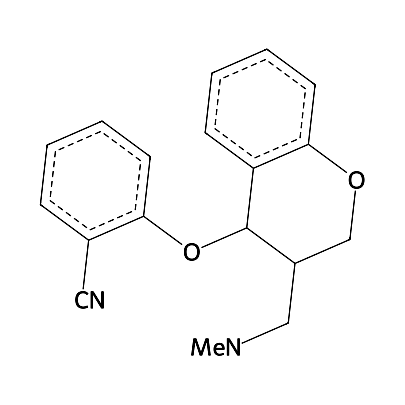 CNCC1COc2ccccc2C1Oc1ccccc1C#N